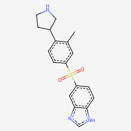 Cc1cc(S(=O)(=O)c2ccc3[nH]cnc3c2)ccc1C1CCNC1